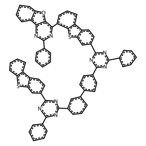 c1ccc(-c2nc(-c3cccc(-c4ccc(-c5nc(-c6ccccc6)nc(-c6ccc7c(c6)sc6c(-c8nc(-c9ccccc9)nc9c8oc8ccccc89)cccc67)n5)cc4)c3)nc(-c3ccc4c(c3)sc3ccccc34)n2)cc1